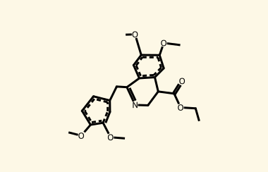 CCOC(=O)C1CN=C(Cc2ccc(OC)c(OC)c2)c2cc(OC)c(OC)cc21